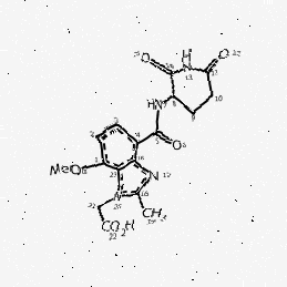 COc1ccc(C(=O)NC2CCC(=O)NC2=O)c2nc(C)n(CC(=O)O)c12